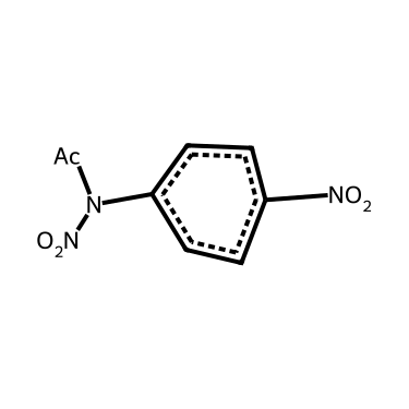 CC(=O)N(c1ccc([N+](=O)[O-])cc1)[N+](=O)[O-]